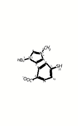 CCCCn1cc[n+](C)c1.O=C([O-])c1ccc(S)cc1